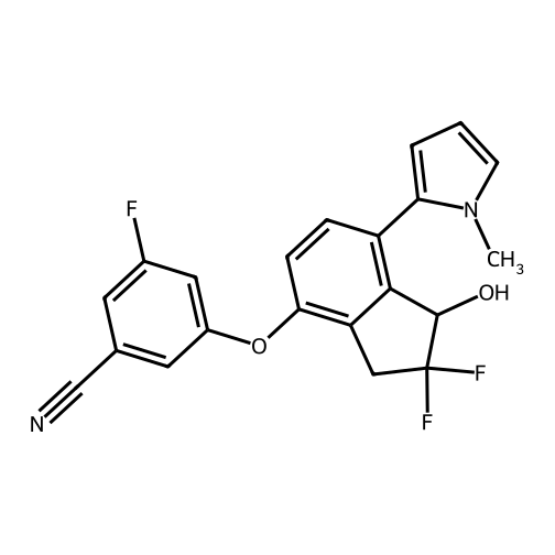 Cn1cccc1-c1ccc(Oc2cc(F)cc(C#N)c2)c2c1C(O)C(F)(F)C2